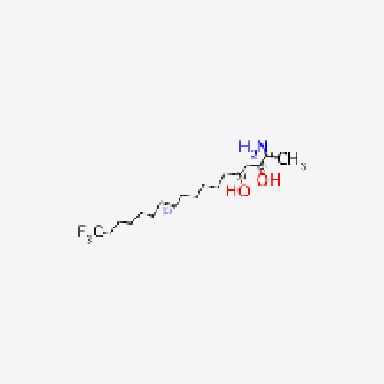 C[C@H](N)[C@@H](O)C[C@@H](O)CCCCC/C=C/CCCCCC(F)(F)F